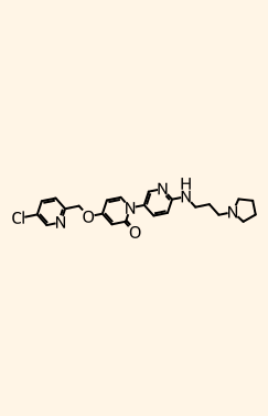 O=c1cc(OCc2ccc(Cl)cn2)ccn1-c1ccc(NCCCN2CCCC2)nc1